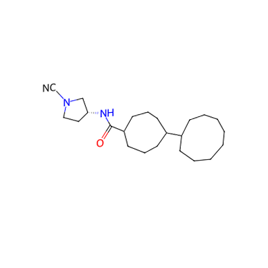 N#CN1CC[C@@H](NC(=O)C2CCCC(C3CCCCCCCC3)CCC2)C1